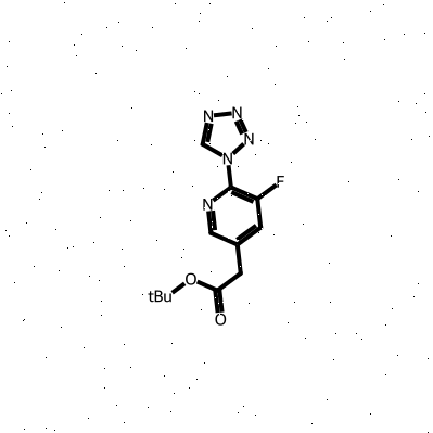 CC(C)(C)OC(=O)Cc1cnc(-n2cnnn2)c(F)c1